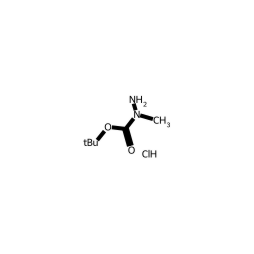 CN(N)C(=O)OC(C)(C)C.Cl